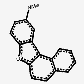 CNc1ccc2oc3ccc4ccccc4c3c2c1